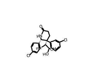 CCCC(C(O)O)[C@@]1(c2cccc(Cl)c2)CCC(=O)N[C@H]1c1ccc(Cl)cc1